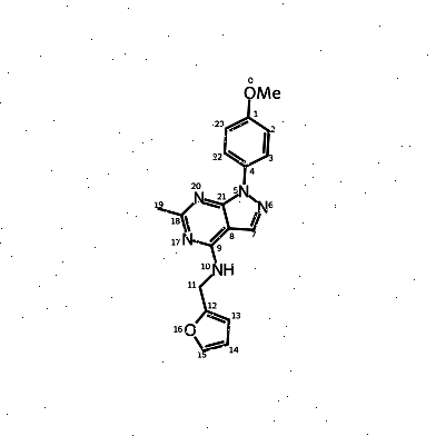 COc1ccc(-n2ncc3c(NCc4ccco4)nc(C)nc32)cc1